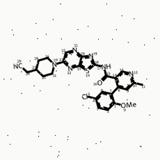 COc1ccc(Cl)cc1-c1cc(C)ncc1C(=O)Nc1nc2ncc(N3CCC(CC#N)CC3)nc2s1